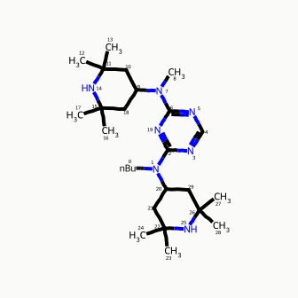 CCCCN(c1ncnc(N(C)C2CC(C)(C)NC(C)(C)C2)n1)C1CC(C)(C)NC(C)(C)C1